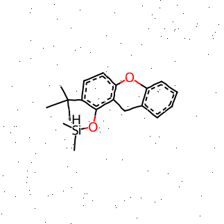 C[SiH](C)Oc1c(C(C)(C)C)ccc2c1Cc1ccccc1O2